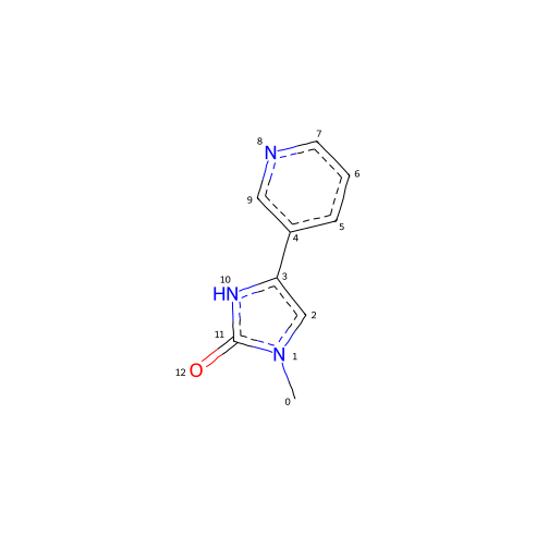 Cn1cc(-c2cccnc2)[nH]c1=O